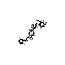 Cc1cc(F)ccc1OCC(=O)N1CCN(C(=O)CCc2ccccc2)CC1